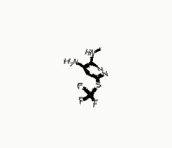 CNc1nnc(SC(F)(F)F)cc1N